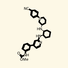 COC(=O)Nc1cccc(-c2ccnc(N[C@@H]3CCCC[C@H]3N[C@H]3CCCN(c4ccc(C#N)cc4)C3)c2)c1